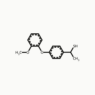 COc1ccccc1Oc1ccc(C(C)S)cc1